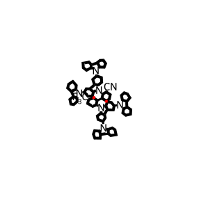 N#Cc1cccc(-c2cc(C(F)(F)F)ccc2-n2c3ccc(-n4c5ccccc5c5ccccc54)cc3c3cc(-n4c5ccccc5c5ccccc54)ccc32)c1-n1c2ccc(-n3c4ccccc4c4ccccc43)cc2c2cc(-n3c4ccccc4c4ccccc43)ccc21